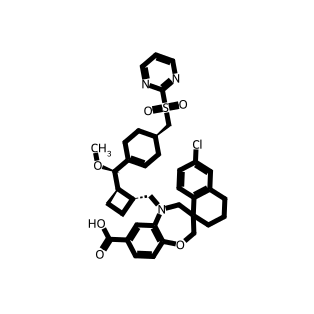 CO[C@@H](C1=CC[C@H](CS(=O)(=O)c2ncccn2)CC1)[C@@H]1CC[C@H]1CN1CC2(CCCc3cc(Cl)ccc32)COc2ccc(C(=O)O)cc21